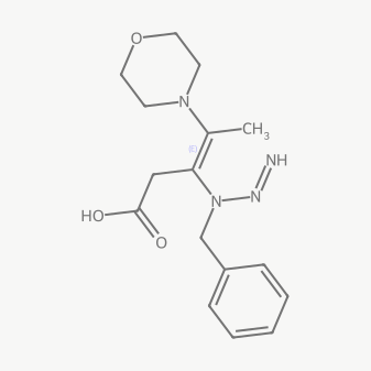 C/C(=C(/CC(=O)O)N(Cc1ccccc1)N=N)N1CCOCC1